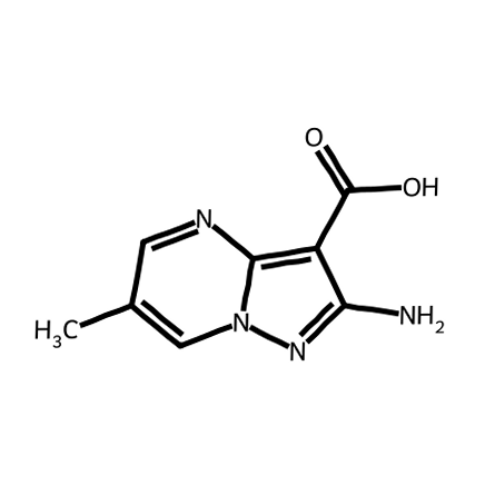 Cc1cnc2c(C(=O)O)c(N)nn2c1